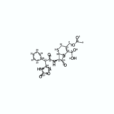 CC(=O)OCC1=C(C(=O)O)N2C(=O)[C@@H](NC(=O)C(c3ccccc3)c3noc(=O)[nH]3)C2SC1